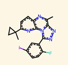 Cc1nc2ccc(C3(C)CC3)nc2n2c(-c3cc(I)ccc3F)nnc12